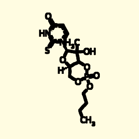 CCCCOP1(=O)OC[C@H]2O[C@@H](n3ccc(=O)[nH]c3=S)C(C)(O)C2O1